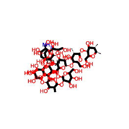 CC1C(O)[C@H](O[C@@H]2OC(CO[C@]3(C(=O)O)C[C@@H](O)[C@@H](N)C(C(O)C(O)CO)O3)[C@H](O)C(O)C2O)[C@H](CO)O[C@H]1O[C@@H]1C(O)[C@H](O)C(CO)O[C@@H]1OCC1O[C@@H](O[C@@H]2C(CO)O[C@@H](O[C@@H]3C(CO)O[C@@H](C)[C@@H](C)C3O)[C@@H](C)C2O)[C@H](O)C(O[C@H]2O[C@H](CO)[C@@H](O)C(O)C2O[C@@H]2OC(CO)[C@@H](O)C(O)[C@@H]2C)[C@@H]1O